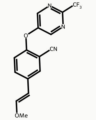 COC=Cc1ccc(Oc2cnc(C(F)(F)F)nc2)c(C#N)c1